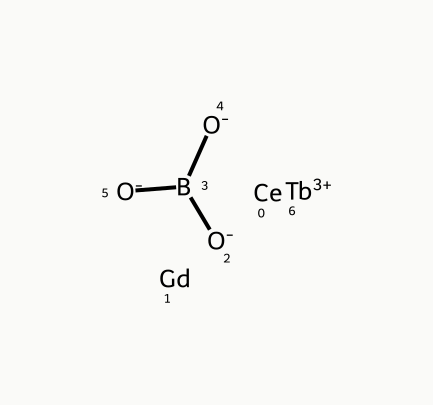 [Ce].[Gd].[O-]B([O-])[O-].[Tb+3]